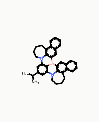 CC(C)c1cc2c3c(c1)N1CCCCc4c1c(cc1ccccc41)B3c1cc3ccccc3c3c1N2CCCC3